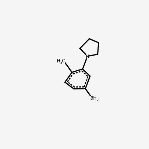 Bc1ccc(C)c(N2CCCC2)c1